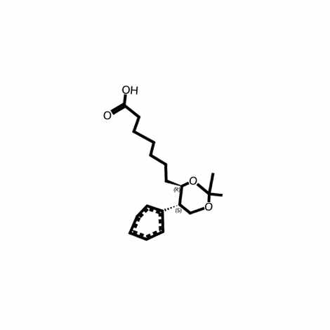 CC1(C)OC[C@H](c2ccccc2)[C@@H](CCCCCCC(=O)O)O1